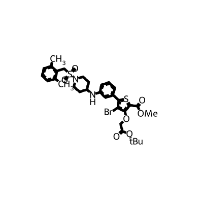 COC(=O)c1sc(-c2cccc(NC3CCN(S(=O)(=O)Cc4c(C)cccc4C)CC3)c2)c(Br)c1OCC(=O)OC(C)(C)C